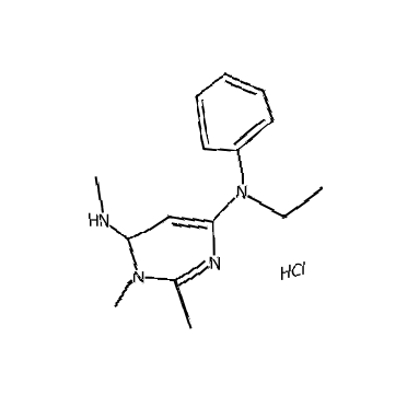 CCN(C1=CC(NC)N(C)C(C)=N1)c1ccccc1.Cl